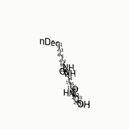 CCCCCCCCCCCCCCCCCCNC(=O)NCCCCCC(=O)Nc1ccc(O)cc1